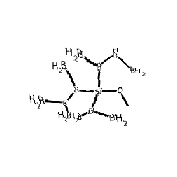 BBB(B)[Si](OC)(B(B)B)B(B)B(B)B